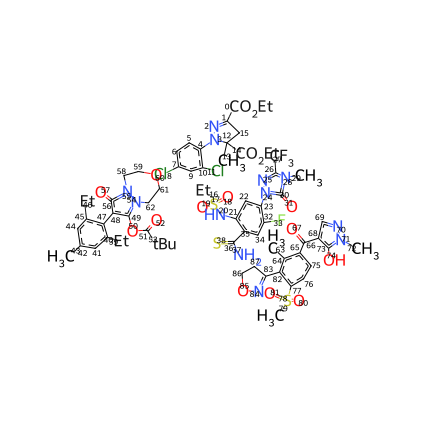 CCOC(=O)C1=NN(c2ccc(Cl)cc2Cl)C(C)(C(=O)OCC)C1.CCS(=O)(=O)Nc1cc(-n2nc(C(F)(F)F)n(C)c2=O)c(F)cc1C(N)=S.CCc1cc(C)cc(CC)c1-c1c(OC(=O)C(C)(C)C)n2n(c1=O)CCOCC2.Cc1c(C(=O)c2cnn(C)c2O)ccc(S(C)(=O)=O)c1C1=NOCC1